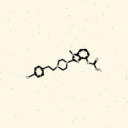 Cn1c(N2CCN(CCc3ccc(Cl)cc3)CC2)nc2c(OC(N)=O)cccc21